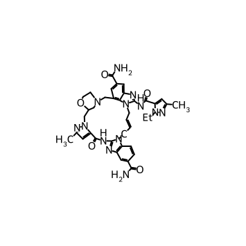 CCn1nc(C)cc1C(=O)Nc1nc2cc(C(N)=O)cc3c2n1C/C=C/Cn1c(nc2cc(C(N)=O)ccc21)NC(=O)c1cc(C)nn1CC1CN(CCO1)C3